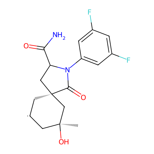 C[C@]1(O)C[CH]C[C@@]2(CC(C(N)=O)N(c3cc(F)cc(F)c3)C2=O)C1